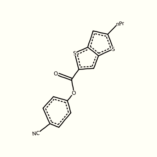 CCCc1cc2sc(C(=O)Oc3ccc(C#N)cc3)cc2s1